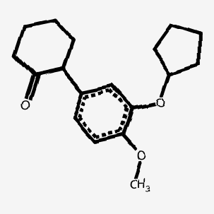 COc1ccc(C2CCCCC2=O)cc1OC1CCCC1